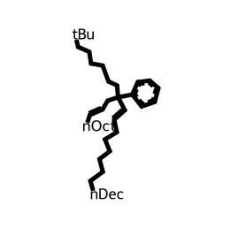 [CH2]C(C)(C)CCCCCCC(C=CCCCCCCCCCCCCCCCC)(CC=CCCCCCCCC)c1ccccc1